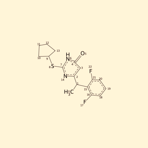 CC(c1cc(=O)[nH]c(SC2CCCC2)n1)c1c(F)cccc1F